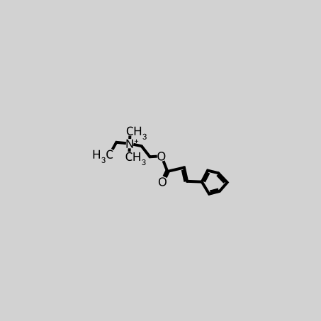 CC[N+](C)(C)CCOC(=O)C=Cc1ccccc1